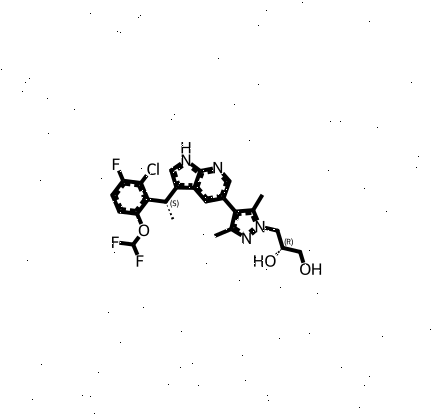 Cc1nn(C[C@@H](O)CO)c(C)c1-c1cnc2[nH]cc([C@H](C)c3c(OC(F)F)ccc(F)c3Cl)c2c1